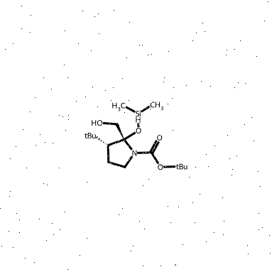 C[SiH](C)O[C@@]1(CO)[C@@H](C(C)(C)C)CCN1C(=O)OC(C)(C)C